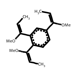 C/C=C(/OC)c1ccc(/C(=C\C)OC)c(/C(=C\C)OC)c1